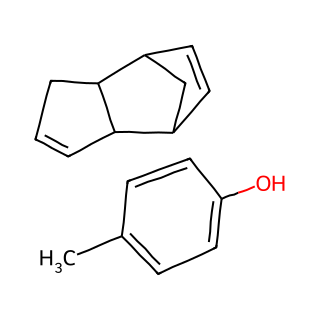 C1=CC2C3C=CC(C3)C2C1.Cc1ccc(O)cc1